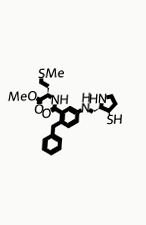 COC(=O)[C@H](CCSC)NC(=O)c1cc(NC[C@@H]2NCC[C@@H]2S)ccc1Cc1ccccc1